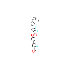 C=CC1CCC(c2ccc(C(=O)Oc3ccc(-c4ccc(C5CO5)c(F)c4)cc3)c(F)c2F)CC1